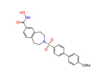 COc1ccc(-c2ccc(S(=O)(=O)N3CCc4ccc(C(=O)NO)cc4CC3)cc2)cc1